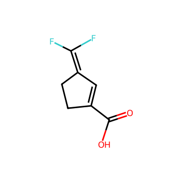 O=C(O)C1=CC(=C(F)F)CC1